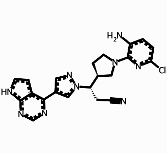 N#CC[C@@H]([C@H]1CCN(c2nc(Cl)ccc2N)C1)n1cc(-c2ncnc3[nH]ccc23)cn1